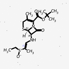 CC[S+]([O-])/C(C)=C/N[C@@H]1C(=O)N2C(C(=O)OC(C)(C)C)=C(C)CS[C@H]12